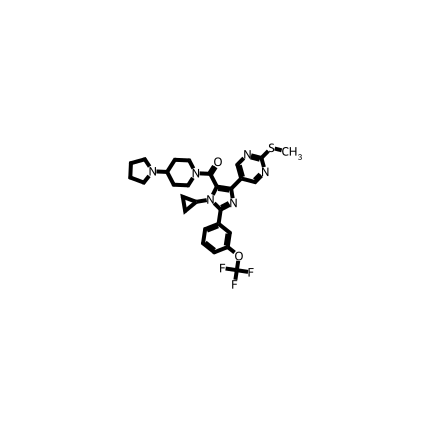 CSc1ncc(-c2nc(-c3cccc(OC(F)(F)F)c3)n(C3CC3)c2C(=O)N2CCC(N3CCCC3)CC2)cn1